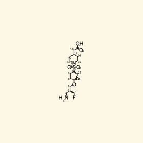 NCC(=CF)COc1ccc(S(=O)(=O)N2CCC(CC(=O)O)CC2)cn1